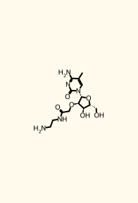 Cc1cn([C@@H]2O[C@H](CO)[C@@H](O)[C@H]2OCC(=O)NCCN)c(=O)nc1N